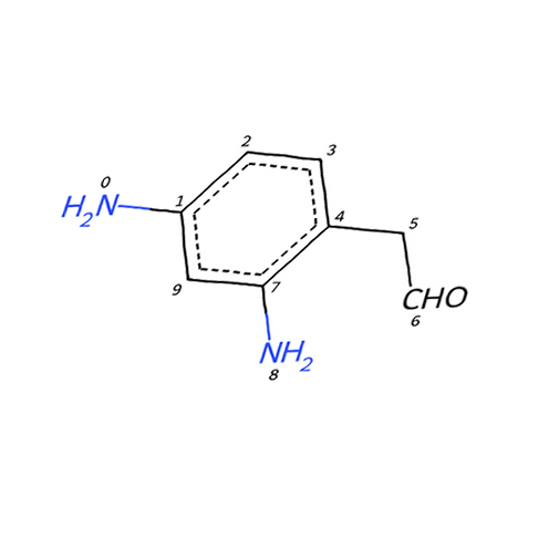 Nc1ccc(CC=O)c(N)c1